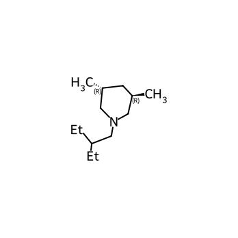 CCC(CC)CN1C[C@H](C)C[C@@H](C)C1